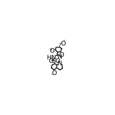 COCc1cc(OC)c2c(NS(=O)(=O)c3ccc(OC)c4cccnc34)noc2c1